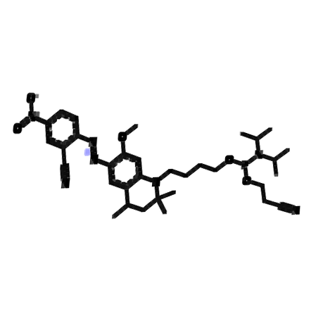 COc1cc2c(cc1/N=N/c1ccc([N+](=O)[O-])cc1C#N)C(C)CC(C)(C)N2CCCCOP(OCCC#N)N(C(C)C)C(C)C